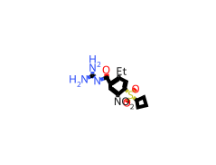 CCc1cc(S(=O)(=O)C2CCC2)c([N+](=O)[O-])cc1C(=O)N=C(N)N